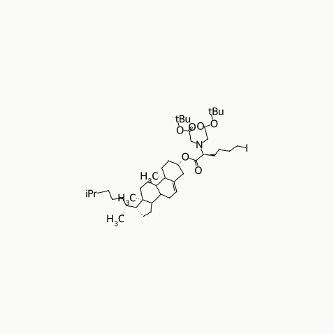 CC(C)CCC[C@@H](C)[C@H]1CCC2C3CC=C4C[C@@H](OC(=O)[C@H](CCCCI)N(CC(=O)OC(C)(C)C)CC(=O)OC(C)(C)C)CC[C@]4(C)C3CC[C@@]21C